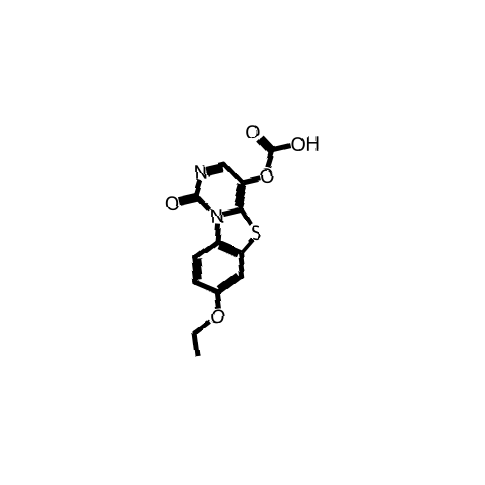 CCOc1ccc2c(c1)sc1c(OC(=O)O)cnc(=O)n12